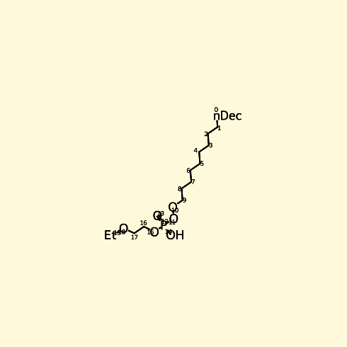 CCCCCCCCCCCCCCCCCCCOOP(=O)(O)OCCOCC